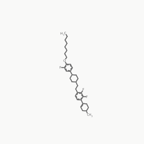 CCCCCCCCOc1ccc(C2CCC(CCc3ccc(C4=CCC(C)CC4)c(F)c3F)CC2)cc1F